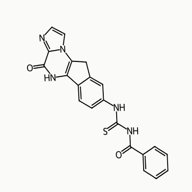 O=C(NC(=S)Nc1ccc2c(c1)Cc1c-2[nH]c(=O)c2nccn12)c1ccccc1